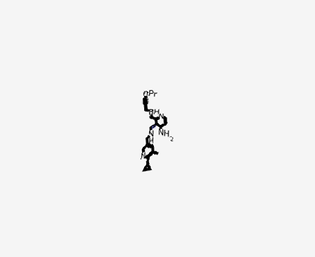 CCCC#CCBCC1=NC=CC(N)/C1=C\NCc1cnc(C2CC2)c(C)c1